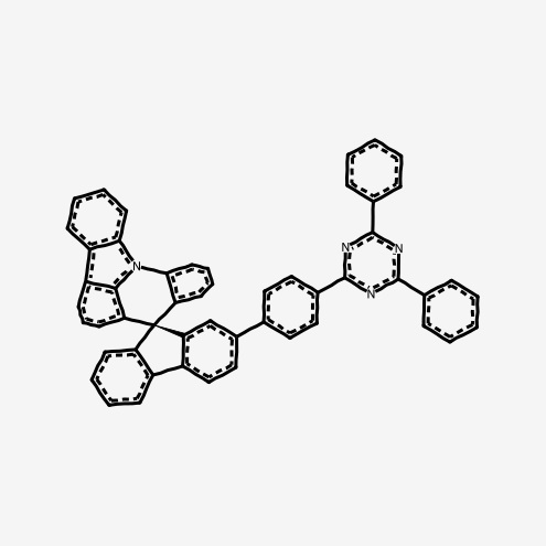 c1ccc(-c2nc(-c3ccccc3)nc(-c3ccc(-c4ccc5c(c4)[C@]4(c6ccccc6-5)c5ccccc5-n5c6ccccc6c6cccc4c65)cc3)n2)cc1